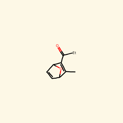 CCC(=O)C1=C(C)C2C=CC1O2